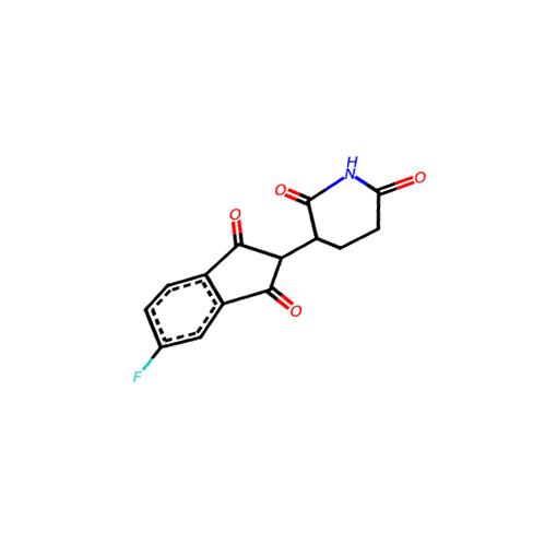 O=C1CCC(C2C(=O)c3ccc(F)cc3C2=O)C(=O)N1